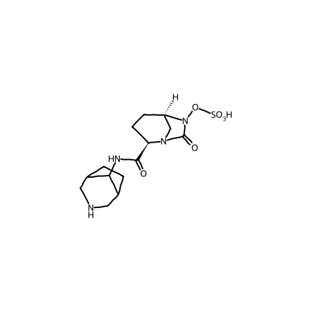 O=C(NC1C2CCC1CNC2)[C@H]1CC[C@@H]2CN1C(=O)N2OS(=O)(=O)O